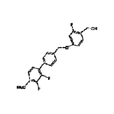 COc1ccc(-c2ccc(COc3ccc(CO)c(F)c3)cc2)c(F)c1F